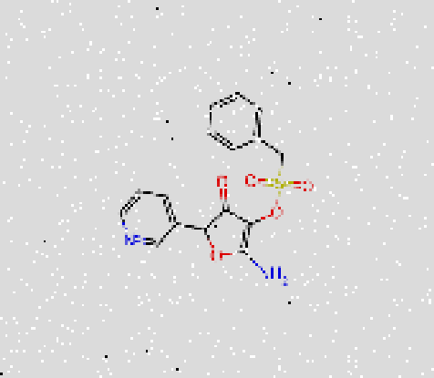 NC1=C(OS(=O)(=O)Cc2ccccc2)C(=O)C(c2cccnc2)O1